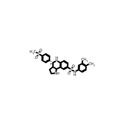 Cc1ccc(NS(=O)(=O)c2ccc3c(c2)C2NCCC2[C@H](c2ccc(S(C)(=O)=O)cc2)N3)cc1C